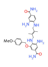 COc1ccc(COc2cc(C(N)=O)cc(N)c2NC/C(C)=C(\C)CNc2ccc(C(N)=O)cc2N)cc1